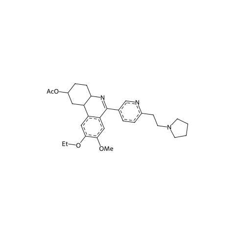 CCOc1cc2c(cc1OC)C(c1ccc(CCN3CCCC3)nc1)=NC1CCC(OC(C)=O)CC21